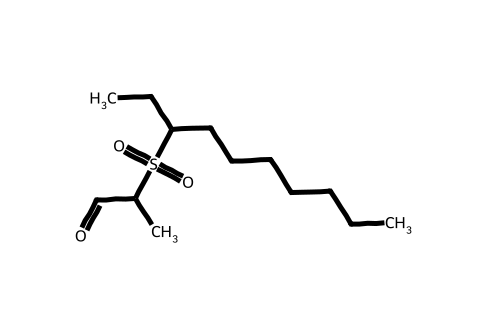 CCCCCCCC(CC)S(=O)(=O)C(C)C=O